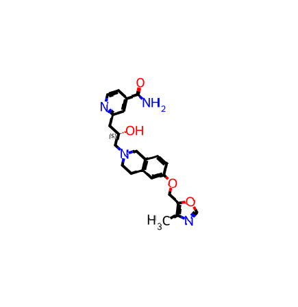 Cc1ncoc1COc1ccc2c(c1)CCN(C[C@@H](O)Cc1cc(C(N)=O)ccn1)C2